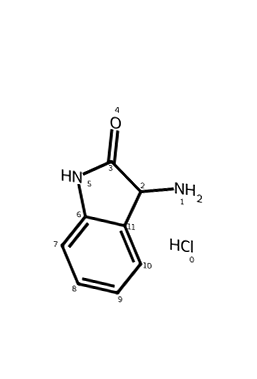 Cl.NC1C(=O)Nc2ccccc21